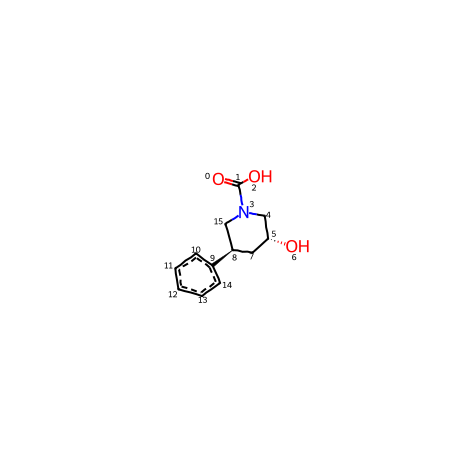 O=C(O)N1C[C@H](O)C[C@@H](c2ccccc2)C1